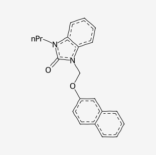 CCCn1c(=O)n(COc2ccc3ccccc3c2)c2ccccc21